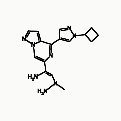 CN(N)/C=C(\N)c1cn2nccc2c(-c2cnn(C3CCC3)c2)n1